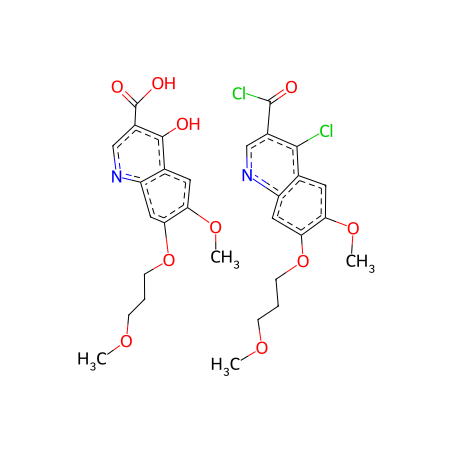 COCCCOc1cc2ncc(C(=O)Cl)c(Cl)c2cc1OC.COCCCOc1cc2ncc(C(=O)O)c(O)c2cc1OC